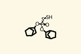 O=P(OC1CC2CCC1C2)(OC1CC2CCC1C2)SS